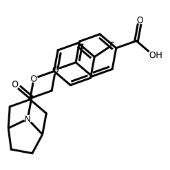 O=C(O)c1ccc(OCC(=O)N2C3CCC2CC(Oc2ccc(F)cc2)C3)cc1